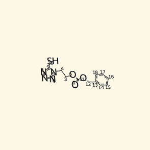 O=C(OCCn1nnnc1S)OCc1ccccc1